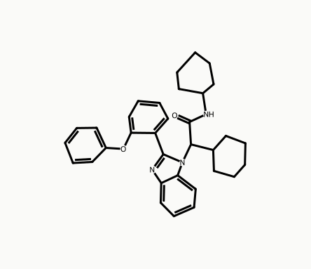 O=C(NC1CCCCC1)C(C1CCCCC1)n1c(-c2ccccc2Oc2ccccc2)nc2ccccc21